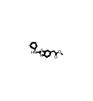 COC(=O)Cc1ccc2nc(Nc3ccccc3)sc2c1